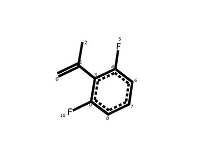 C=C(C)c1c(F)cccc1F